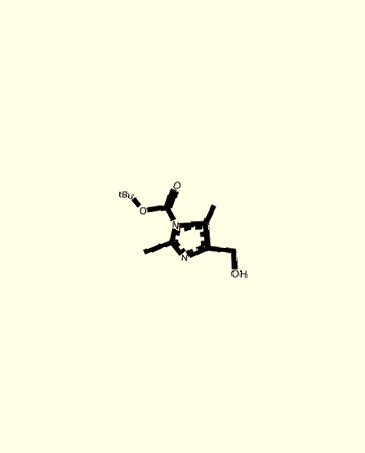 Cc1nc(CO)c(C)n1C(=O)OC(C)(C)C